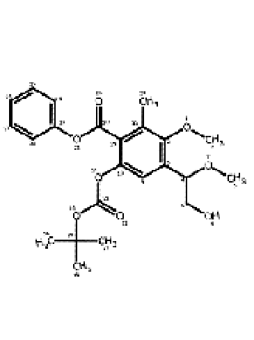 COc1c(C(CO)OC)cc(OC(=O)OC(C)(C)C)c(C(=O)Oc2ccccc2)c1C